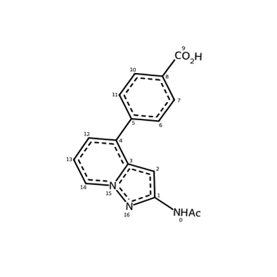 CC(=O)Nc1cc2c(-c3ccc(C(=O)O)cc3)cccn2n1